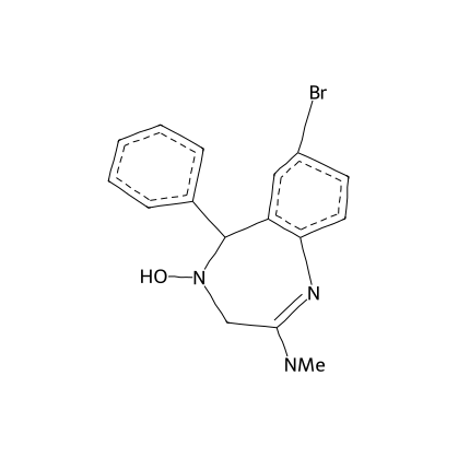 CNC1=Nc2ccc(Br)cc2C(c2ccccc2)N(O)C1